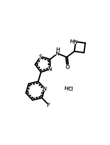 Cl.O=C(Nc1nc(-c2cccc(F)n2)cs1)C1CCN1